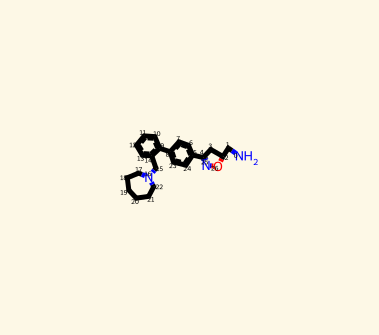 NCC1CC(c2ccc(-c3ccccc3CN3CCCCCC3)cc2)=NO1